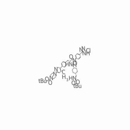 Cc1cc(N2CCN(C(=O)OC(C)(C)C)CC2)ncc1-c1ccc(C[C@H](NC(=O)[C@H]2CC[C@H](CNC(=O)OC(C)(C)C)CC2)C(=O)Nc2ccc(-c3nnc(Cl)[nH]3)cc2)cc1